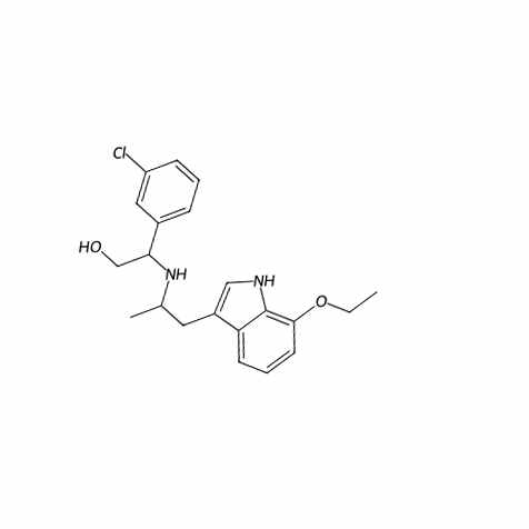 CCOc1cccc2c(CC(C)NC(CO)c3cccc(Cl)c3)c[nH]c12